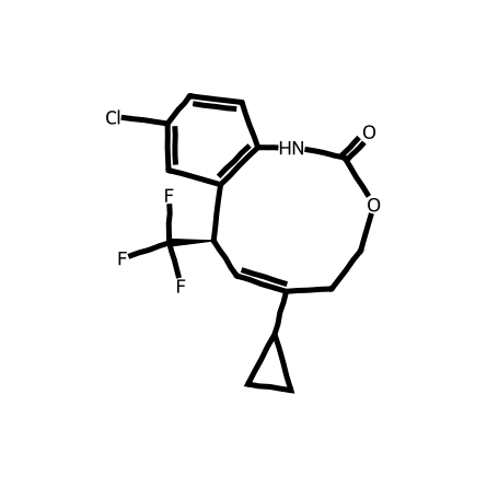 O=C1Nc2ccc(Cl)cc2[C@H](C(F)(F)F)/C=C(/C2CC2)CCO1